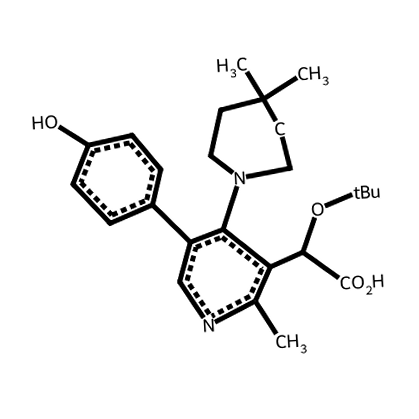 Cc1ncc(-c2ccc(O)cc2)c(N2CCC(C)(C)CC2)c1C(OC(C)(C)C)C(=O)O